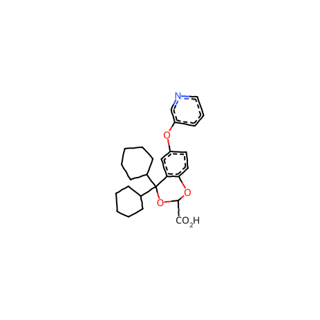 O=C(O)C1Oc2ccc(Oc3cccnc3)cc2C(C2CCCCC2)(C2CCCCC2)O1